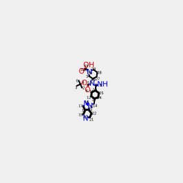 CC(C)(C)OC(=O)N(C(=N)c1ccc(Cn2ncc3cnccc32)cc1)[C@@H]1CCCN(C(=O)O)C1